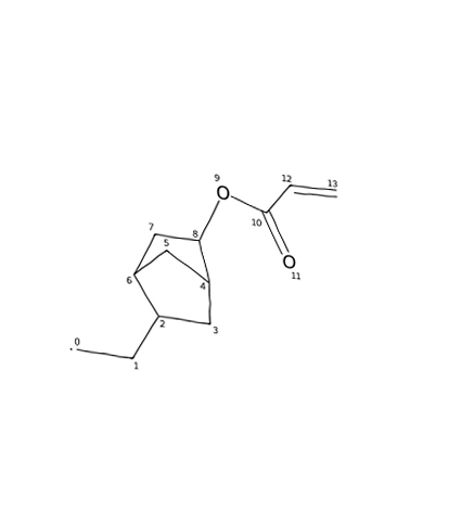 [CH2]CC1CC2CC1CC2OC(=O)C=C